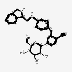 N#Cc1ccc([C@@H]2O[C@H](CO)[C@@H](O)[C@H](O)[C@H]2O)cc1Cc1ccc(OCC2OCc3ccccc32)cc1